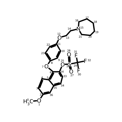 COc1ccc2c(Oc3ccc(OCCN4CCCCCC4)cc3)c(OS(=O)(=O)C(F)(F)F)ccc2c1